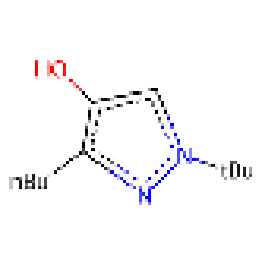 CCCCc1nn(C(C)(C)C)cc1O